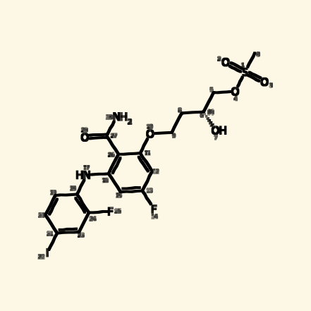 CS(=O)(=O)OC[C@H](O)CCOc1cc(F)cc(Nc2ccc(I)cc2F)c1C(N)=O